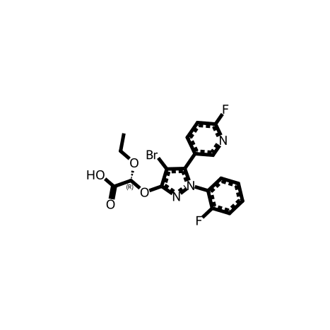 CCO[C@H](Oc1nn(-c2ccccc2F)c(-c2ccc(F)nc2)c1Br)C(=O)O